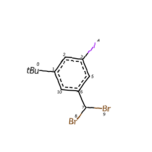 CC(C)(C)c1cc(I)cc(C(Br)Br)c1